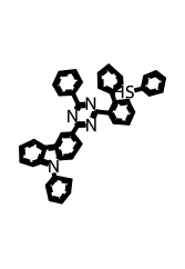 c1ccc(-c2nc(-c3ccc4c(c3)c3ccccc3n4-c3ccccc3)nc(-c3cccc4c3-c3ccccc3[SH]4c3ccccc3)n2)cc1